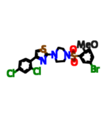 COc1ccc(Br)cc1S(=O)(=O)N1CCN(c2nc(-c3ccc(Cl)cc3Cl)cs2)CC1